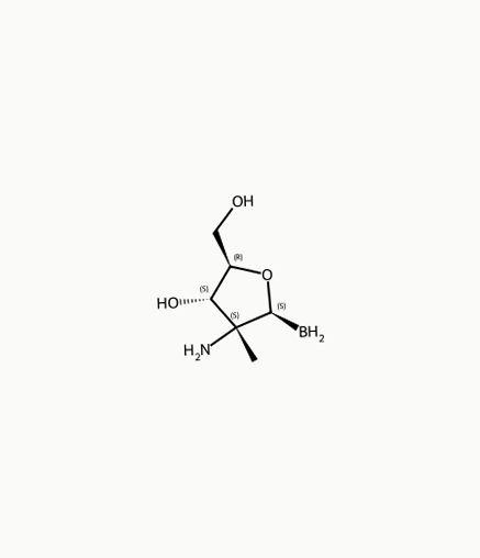 B[C@@H]1O[C@H](CO)[C@@H](O)[C@@]1(C)N